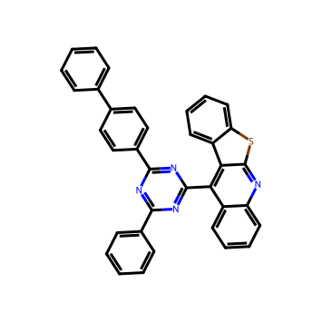 c1ccc(-c2ccc(-c3nc(-c4ccccc4)nc(-c4c5ccccc5nc5sc6ccccc6c45)n3)cc2)cc1